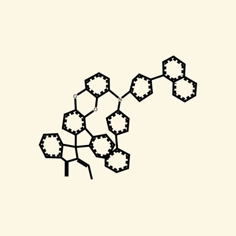 C=C1/C(=C\C)C2(c3ccccc31)c1ccccc1-c1c2ccc2c1Oc1c(cccc1N(c1ccc(-c3ccccc3)cc1)c1ccc(-c3cccc4ccccc34)cc1)O2